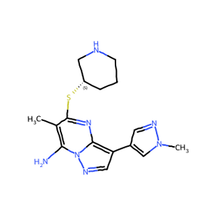 Cc1c(S[C@H]2CCCNC2)nc2c(-c3cnn(C)c3)cnn2c1N